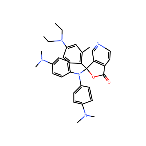 CCN(CC)c1ccc(C2(N(c3ccc(N(C)C)cc3)c3ccc(N(C)C)cc3)OC(=O)c3ccncc32)c(C)c1